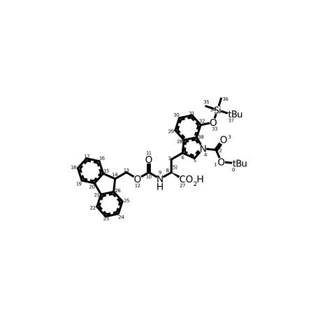 CC(C)(C)OC(=O)n1cc(C[C@H](NC(=O)OCC2c3ccccc3-c3ccccc32)C(=O)O)c2cccc(O[Si](C)(C)C(C)(C)C)c21